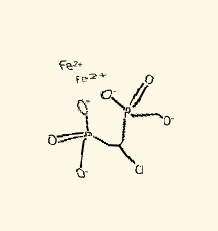 O=P([O-])([O-])C(Cl)P(=O)([O-])[O-].[Fe+2].[Fe+2]